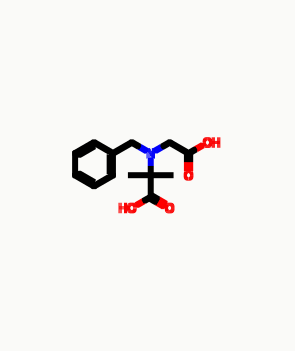 CC(C)(C(=O)O)N(CC(=O)O)Cc1ccccc1